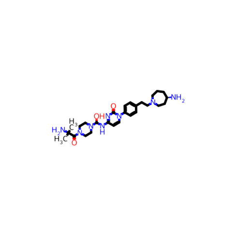 CC(C)(N)C(=O)N1CCN(C(O)Nc2ccn(-c3ccc(CCN4CCC[C@@H](N)CC4)cc3)c(=O)n2)CC1